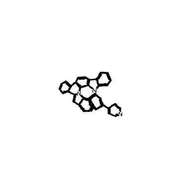 c1cc(-c2ccncc2)cc(-n2c3ccccc3c3ccc4c5ccccc5c5cc6ccccc6n5c4c32)c1